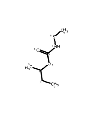 CCC(C)OC(=O)NSC